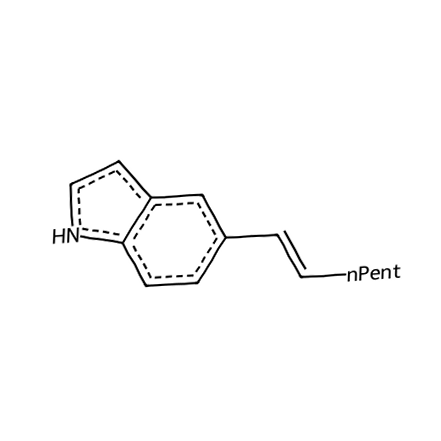 CCCCCC=Cc1ccc2[nH]ccc2c1